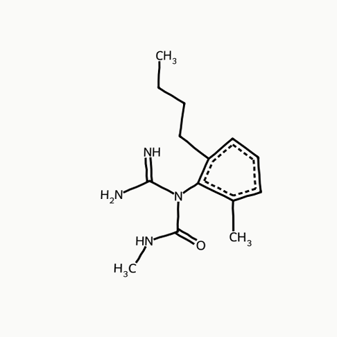 CCCCc1cccc(C)c1N(C(=N)N)C(=O)NC